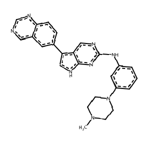 CN1CCN(c2cccc(Nc3ncc4c(-c5ccc6ncncc6c5)c[nH]c4n3)c2)CC1